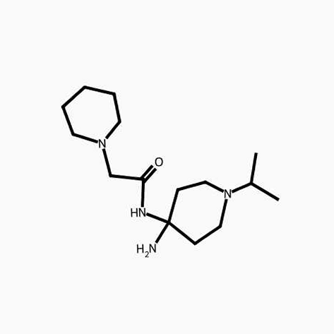 CC(C)N1CCC(N)(NC(=O)CN2CCCCC2)CC1